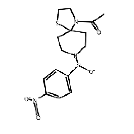 CC(=O)N1CCSC12CCN([S+]([O-])c1ccc([N+](=O)[O-])cc1)CC2